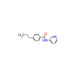 CCCc1ccc(C(=O)Nc2cccnc2)cc1